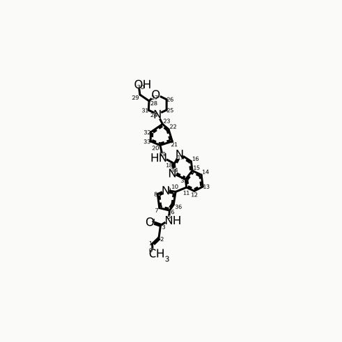 CC=CC(=O)Nc1ccnc(-c2cccc3cnc(Nc4ccc(N5CCOC(CO)C5)cc4)nc23)c1